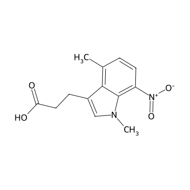 Cc1ccc([N+](=O)[O-])c2c1c(CCC(=O)O)cn2C